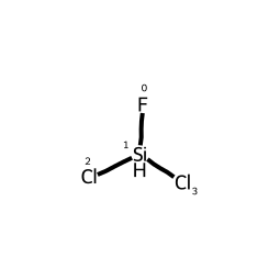 F[SiH](Cl)Cl